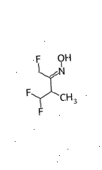 CC(C(CF)=NO)C(F)F